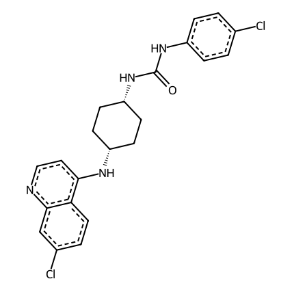 O=C(Nc1ccc(Cl)cc1)N[C@H]1CC[C@@H](Nc2ccnc3cc(Cl)ccc23)CC1